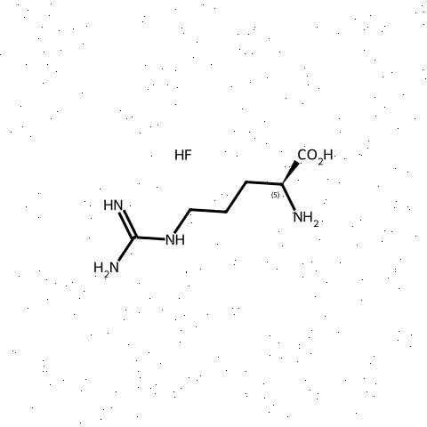 F.N=C(N)NCCC[C@H](N)C(=O)O